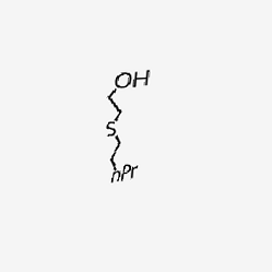 CCCCCSCCO